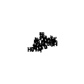 Cn1cnnc1C1(c2cccc(N3Cc4c(cc(CN(C(=O)O)C5(C)CCC5)cc4C(F)(F)F)C3=O)c2)CC(O)C1